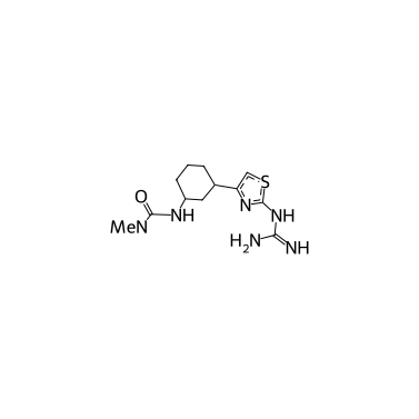 CNC(=O)NC1CCCC(c2csc(NC(=N)N)n2)C1